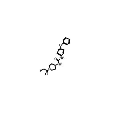 O=C(Nc1ccc(Oc2ccccc2)cc1)NC1CCN(C(=O)CI)CC1